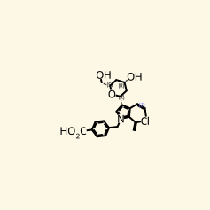 C=C(Cl)c1c(/C=C\C)c([C@H]2C[C@@H](O)C[C@@H](CO)O2)cn1Cc1ccc(C(=O)O)cc1